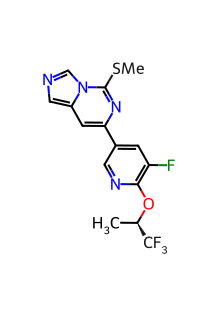 CSc1nc(-c2cnc(O[C@H](C)C(F)(F)F)c(F)c2)cc2cncn12